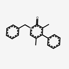 Cc1cn(Cc2ccccc2)c(=O)c(C)c1-c1ccccc1